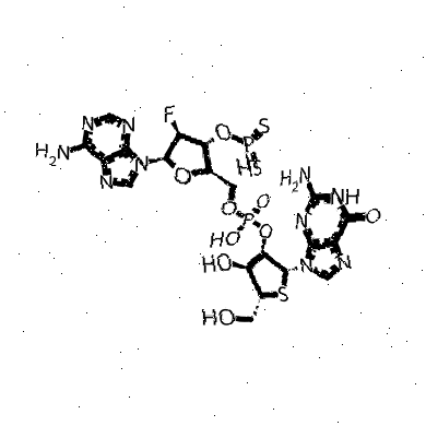 Nc1nc2c(ncn2[C@@H]2S[C@H](CO)[C@@H](O)[C@H]2OP(=O)(O)OC[C@H]2O[C@@H](n3cnc4c(N)ncnc43)[C@@H](F)[C@@H]2O[PH](=S)S)c(=O)[nH]1